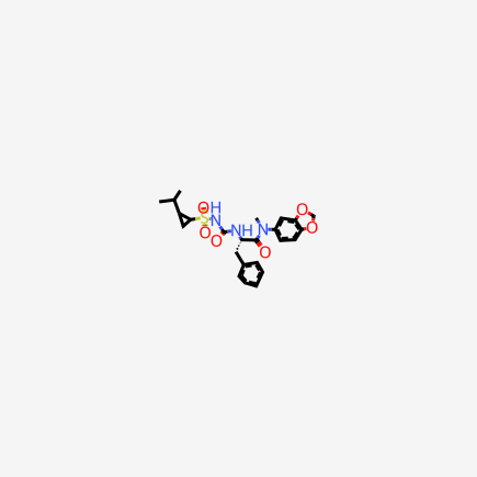 CC(C)C1CC1S(=O)(=O)NC(=O)N[C@@H](Cc1ccccc1)C(=O)N(C)c1ccc2c(c1)OCO2